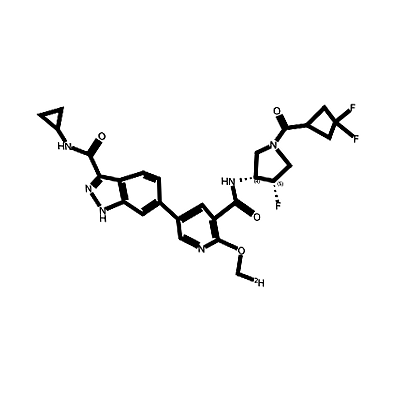 [2H]COc1ncc(-c2ccc3c(C(=O)NC4CC4)n[nH]c3c2)cc1C(=O)N[C@@H]1CN(C(=O)C2CC(F)(F)C2)C[C@@H]1F